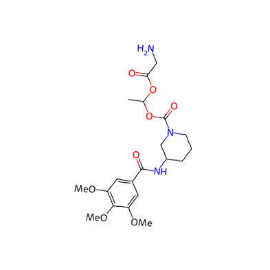 COc1cc(C(=O)NC2CCCN(C(=O)OC(C)OC(=O)CN)C2)cc(OC)c1OC